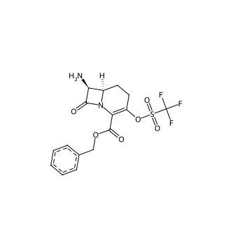 N[C@@H]1C(=O)N2C(C(=O)OCc3ccccc3)=C(OS(=O)(=O)C(F)(F)F)CC[C@H]12